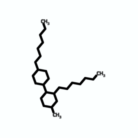 CCCCCCCC1CCC(C2CCC(C)CC2CCCCCCC)CC1